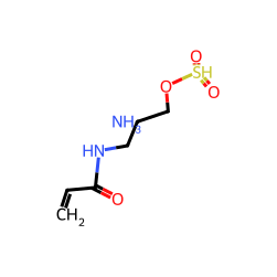 C=CC(=O)NCCCO[SH](=O)=O.N